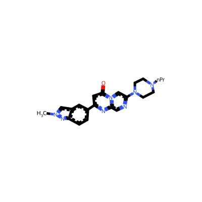 CCCN1CCN(c2cn3c(=O)cc(-c4ccc5nn(C)cc5c4)nc3cn2)CC1